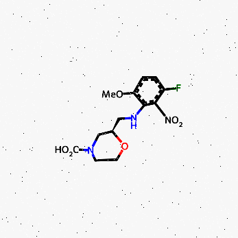 COc1ccc(F)c([N+](=O)[O-])c1NC[C@@H]1CN(C(=O)O)CCO1